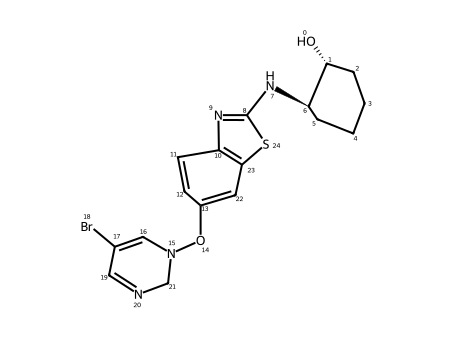 O[C@@H]1CCCC[C@H]1Nc1nc2ccc(ON3C=C(Br)C=NC3)cc2s1